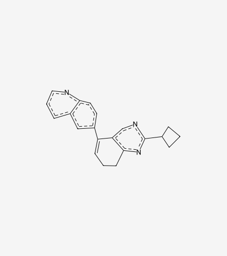 C1=C(c2ccc3ncccc3c2)c2cnc(C3CCC3)nc2CC1